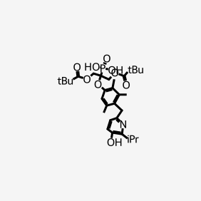 Cc1cc(OC(COC(=O)C(C)(C)C)(COC(=O)C(C)(C)C)P(=O)(O)O)c(C)c(C)c1Cc1ccc(O)c(C(C)C)n1